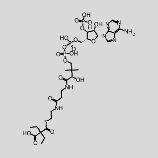 CCC(CC)(C(=O)O)C(=O)SCCNC(=O)CCNC(=O)[C@H](O)C(C)(C)COP(=O)(O)OP(=O)(O)OC[C@H]1O[C@@H](n2cnc3c(N)ncnc32)[C@H](O)[C@@H]1OP(=O)(O)O